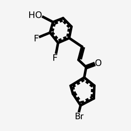 O=C(C=Cc1ccc(O)c(F)c1F)c1ccc(Br)cc1